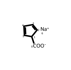 O=C([O-])C1C=CC=C1.[Na+]